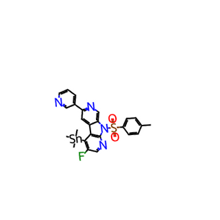 Cc1ccc(S(=O)(=O)n2c3cnc(-c4cccnc4)cc3c3[c]([Sn]([CH3])([CH3])[CH3])c(F)cnc32)cc1